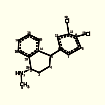 CN[C@H]1CCC(c2ccc(Cl)c(Cl)c2)c2ccccc21